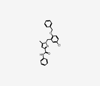 Cc1cc(C(=O)Nc2ccccc2)nn1Cc1cc(Cl)ccc1OCc1ccccc1